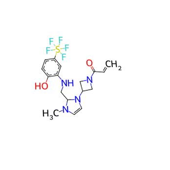 C=CC(=O)N1CC(N2C=CN(C)C2CNc2cc(S(F)(F)(F)(F)F)ccc2O)C1